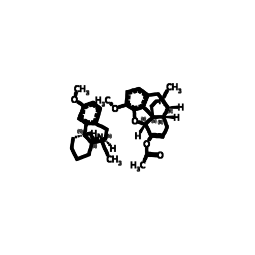 COc1ccc2c(c1)[C@]13CCCC[C@@H]1[C@H](C2)N(C)CC3.COc1ccc2c3c1O[C@H]1C(OC(C)=O)=CC[C@H]4[C@@H](C2)N(C)CC[C@]314